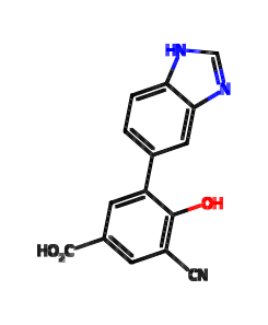 N#Cc1cc(C(=O)O)cc(-c2ccc3[nH]cnc3c2)c1O